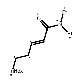 CCCCCCCCC=CC(=O)N(CC)CC